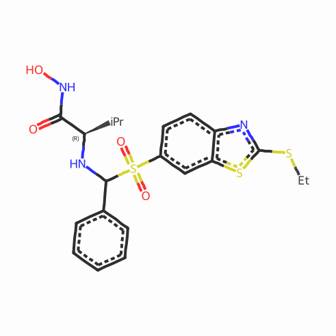 CCSc1nc2ccc(S(=O)(=O)C(N[C@@H](C(=O)NO)C(C)C)c3ccccc3)cc2s1